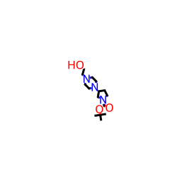 CC(C)(C)OC(=O)N1CC[C@@H](N2CCN(CCO)CC2)C1